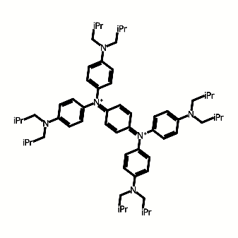 CC(C)CN(CC(C)C)c1ccc([N+](=C2C=CC(=[N+](c3ccc(N(CC(C)C)CC(C)C)cc3)c3ccc(N(CC(C)C)CC(C)C)cc3)C=C2)c2ccc(N(CC(C)C)CC(C)C)cc2)cc1